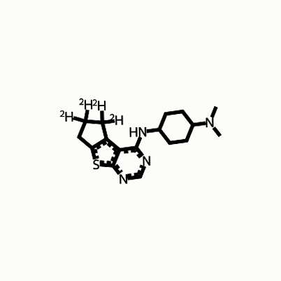 [2H]C1([2H])Cc2sc3ncnc(NC4CCC(N(C)C)CC4)c3c2C1([2H])[2H]